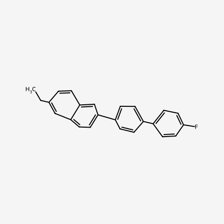 CCc1ccc2cc(-c3ccc(-c4ccc(F)cc4)cc3)ccc2c1